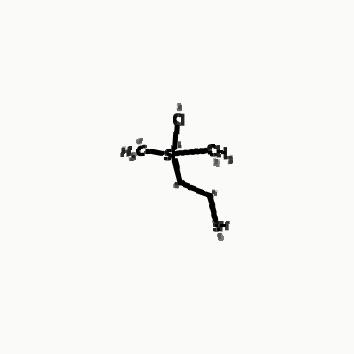 C[Si](C)(Cl)CCS